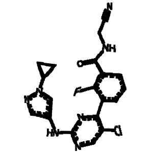 N#CCNC(=O)c1cccc(-c2nc(Nc3cnn(C4CC4)c3)ncc2Cl)c1F